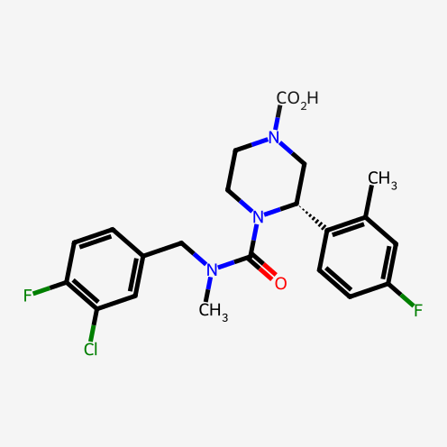 Cc1cc(F)ccc1[C@H]1CN(C(=O)O)CCN1C(=O)N(C)Cc1ccc(F)c(Cl)c1